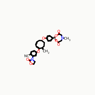 C=C1CC[C@@H](Oc2ccc(B3OC(=O)CN(C)CC(=O)O3)cc2)C/C=C\C=C/1Oc1ccc(C#N)c(N2CCOC2=O)c1